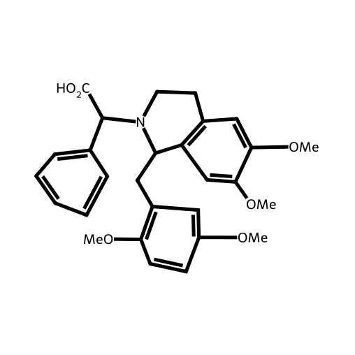 COc1ccc(OC)c(CC2c3cc(OC)c(OC)cc3CCN2C(C(=O)O)c2ccccc2)c1